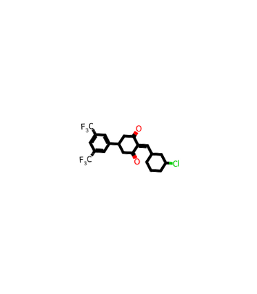 O=C1CC(c2cc(C(F)(F)F)cc(C(F)(F)F)c2)CC(=O)C1=CC1CCCC(Cl)C1